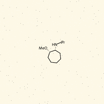 CO[C@H]1CCCCC[C@H]1NC(C)C